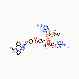 BP(=O)(OC)O[C@H]1[C@@H](F)[C@H](n2cnc3c(N)ncnc32)O[C@@H]1COP(=O)(O[C@@H]1C(C)O[C@@H](n2cnc3c(N)ncnc32)[C@@H]1F)SCc1ccc(OC(=O)c2ccc(OCCn3nnc4c3-c3ccccc3CN(C(=O)CC)c3ccccc3-4)cc2)cc1